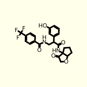 O=C(NCC(C(=O)NC12CCCC1OCC2=O)c1cccc(O)c1)c1ccc(C(F)(F)F)cc1